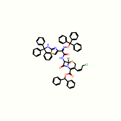 O=C(OC(c1ccccc1)c1ccccc1)C1=C(/C=C\CCl)CS[C@H]2C(NC(=O)/C(=N\OC(c3ccccc3)(c3ccccc3)c3ccccc3)c3csc(NC(c4ccccc4)(c4ccccc4)c4ccccc4)n3)C(=O)N12